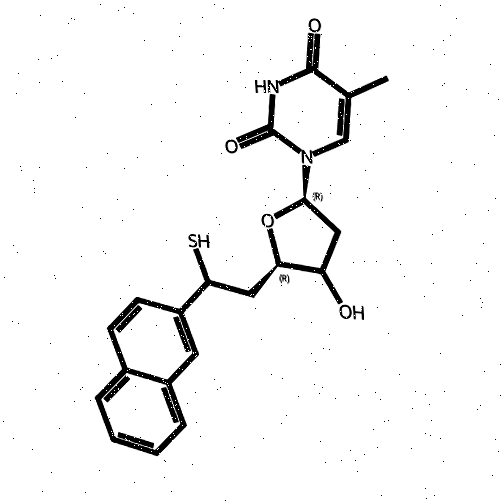 Cc1cn([C@H]2CC(O)[C@@H](CC(S)c3ccc4ccccc4c3)O2)c(=O)[nH]c1=O